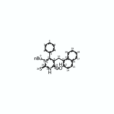 CCCCn1c(-c2ccccc2)c(Cc2c(O)ccc3ccccc23)c(=O)[nH]c1=S